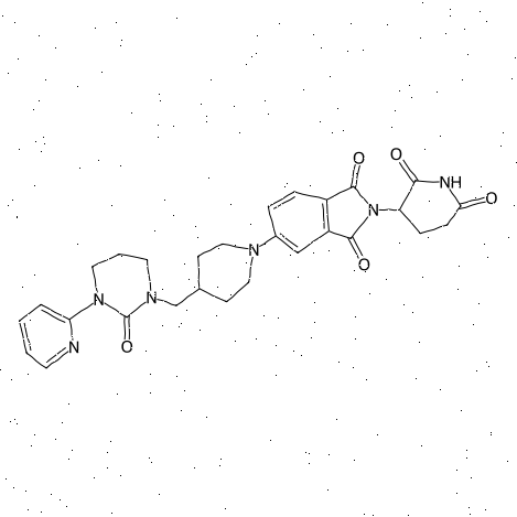 O=C1CCC(N2C(=O)c3ccc(N4CCC(CN5CCCN(c6ccccn6)C5=O)CC4)cc3C2=O)C(=O)N1